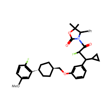 COc1ccc(F)c([C@H]2CC[C@H](COc3cccc(C(C4CC4)C(F)C(=O)N4C(=O)OC(C)(C)C4C(C)C)c3)CC2)c1